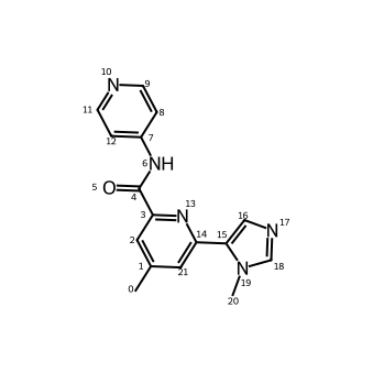 Cc1cc(C(=O)Nc2ccncc2)nc(-c2cncn2C)c1